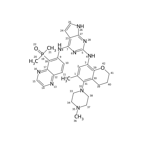 Cc1cc(Nc2nc(Nc3ccc4nccnc4c3P(C)(C)=O)c3cc[nH]c3n2)c2c(c1N1CCN(C)CC1)CCCO2